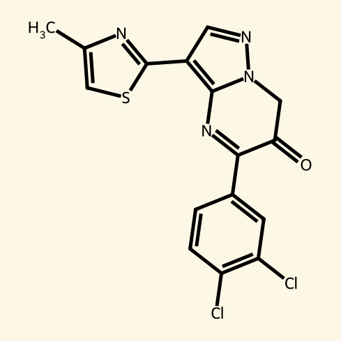 Cc1csc(-c2cnn3c2N=C(c2ccc(Cl)c(Cl)c2)C(=O)C3)n1